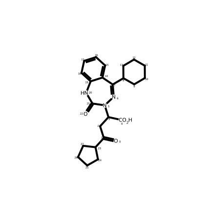 O=C(CC(C(=O)O)N1N=C(C2CCCCC2)c2ccccc2NC1=O)C1CCCC1